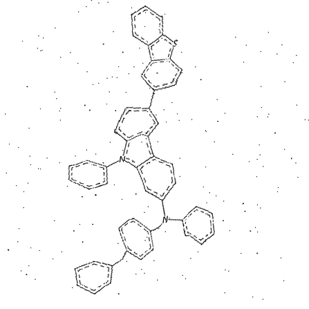 c1ccc(-c2ccc(N(c3ccccc3)c3ccc4c5cc(-c6ccc7sc8ccccc8c7c6)ccc5n(-c5ccccc5)c4c3)cc2)cc1